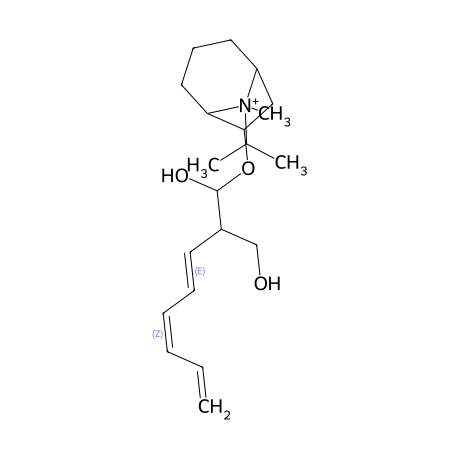 C=C/C=C\C=C\C(CO)C(O)OC1CC2CCCC1[N+]2(C)C(C)C